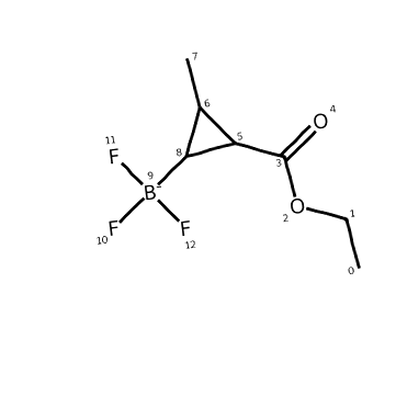 CCOC(=O)C1C(C)C1[B-](F)(F)F